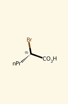 CCC[C@H](Br)C(=O)O